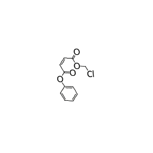 O=C(/C=C\C(=O)Oc1ccccc1)OCCl